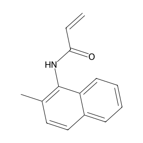 C=CC(=O)Nc1c(C)ccc2ccccc12